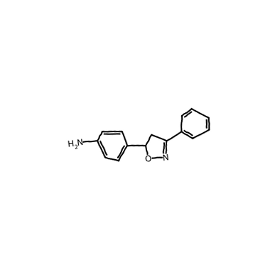 Nc1ccc(C2CC(c3ccccc3)=NO2)cc1